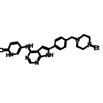 CCN1CCN(Cc2ccc(-c3cc4c(Nc5ccc(=O)[nH]c5)ncnc4[nH]3)cc2)CC1